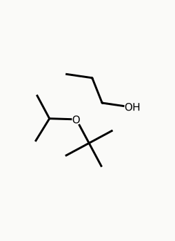 CC(C)OC(C)(C)C.CCCO